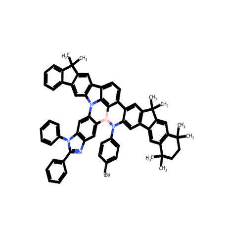 CC(C)(C)c1ccc(N2B3c4cc5nc(-c6ccccc6)n(-c6ccccc6)c5cc4-n4c5cc6c(cc5c5ccc(c3c54)-c3cc4c(cc32)-c2cc3c(cc2C4(C)C)C(C)(C)CCC3(C)C)C(C)(C)c2ccccc2-6)cc1